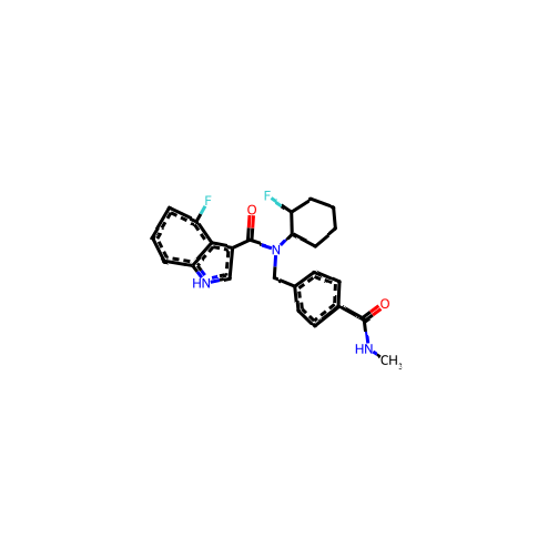 CNC(=O)c1ccc(CN(C(=O)c2c[nH]c3cccc(F)c23)C2CCCCC2F)cc1